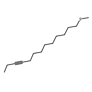 CCC#CCCCCCCCCCSC